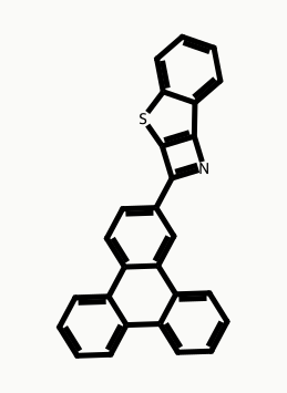 c1ccc2c3c(sc2c1)C(c1ccc2c4ccccc4c4ccccc4c2c1)=N3